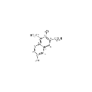 CCc1ccc2c(C(=O)O)c(CC)c(C(=O)O)cc2c1